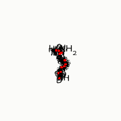 Cc1cc(Nc2nc(C3CCC[C@@H](N4CCC5(CCN(CC6CCN(c7ccc8c(c7)C(=O)N([C@H]7CCC(=O)NC7=O)C8=O)CC6)CC5)C4=O)C3)cnc2C(N)=O)sn1